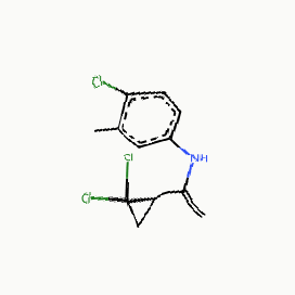 C=C(Nc1ccc(Cl)c(C)c1)C1CC1(Cl)Cl